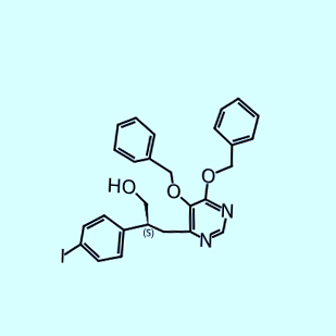 OC[C@@H](Cc1ncnc(OCc2ccccc2)c1OCc1ccccc1)c1ccc(I)cc1